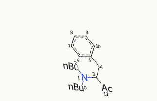 CCCCN(CCCC)C(Cc1ccccc1)C(C)=O